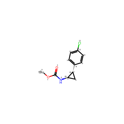 CC(C)(C)OC(=O)N[C@@H]1C[C@H]1c1ccc(Cl)cc1